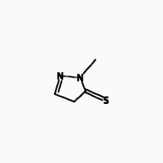 CN1N=CCC1=S